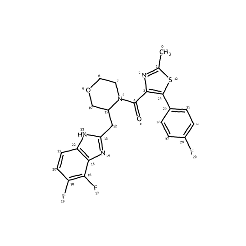 Cc1nc(C(=O)N2CCOCC2Cc2nc3c(F)c(F)ccc3[nH]2)c(-c2ccc(F)cc2)s1